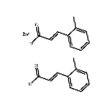 Cc1ccccc1C=CC(=O)[O-].Cc1ccccc1C=CC(=O)[O-].[Zn+2]